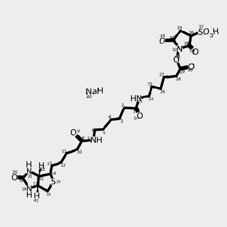 O=C(CCCCCNC(=O)CCCCC1SC[C@@H]2NC(=O)N[C@H]12)NCCCCCC(=O)ON1C(=O)CC(S(=O)(=O)O)C1=O.[NaH]